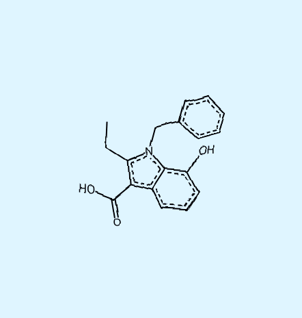 CCc1c(C(=O)O)c2cccc(O)c2n1Cc1ccccc1